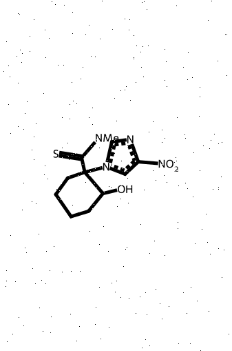 CNC(=S)C1(n2cnc([N+](=O)[O-])c2)CCCCC1O